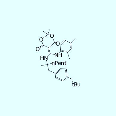 CCCCCC(C)(Cc1ccc(CC(C)(C)C)cc1)NC(Nc1ccc(C)cc1C)=C1C(=O)OC(C)(C)OC1=O